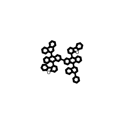 c1ccc(-c2ccc(-c3c4ccccc4c(-c4cccc5c4oc4ccccc45)c4cc(-c5ccc6c(-c7cc8ccccc8c8ccccc78)c7ccccc7c(-c7cccc8oc9ccccc9c78)c6c5)ccc34)c3ccccc23)cc1